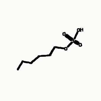 CCCC[CH]COS(=O)(=O)O